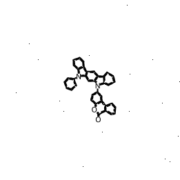 O=c1oc2ccc(-n3c4ccccc4c4cc5c6ccccc6n(-c6ccccc6)c5cc43)cc2c2ccccc12